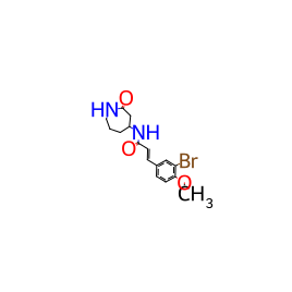 COc1ccc(C=CC(=O)NC2CCCNC(=O)C2)cc1Br